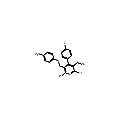 CC(C)c1nc(C(C)C)c(CSc2ccc([N+](=O)[O-])cc2)c(-c2ccc(F)cc2)c1CO